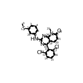 CSc1cccc(Nc2nc(-c3c(Cl)cccc3Cl)c3ccc(=O)n(C)c3n2)c1